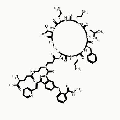 CNC(=O)c1ccccc1Sc1ccc2c(/C=C/c3ccccn3)nn(C(=O)N(CCNC(=O)CC[C@H](N)C(=O)O)CCC(=O)N[C@H]3CCNC(=O)[C@H]([C@@H](C)O)NC(=O)[C@H](CCN)NC(=O)[C@H](CCN)NC(=O)[C@H](CC(C)C)NC(=O)[C@@H](Cc4ccccc4)NC(=O)[C@H](CCN)NC3=O)c2c1